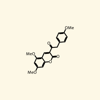 COc1ccc(CC(=O)c2cc3c(OC)cc(OC)cc3oc2=O)cc1